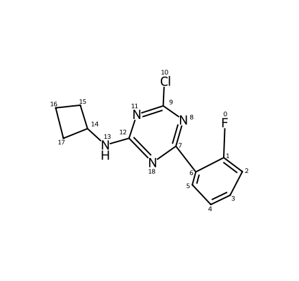 Fc1ccccc1-c1nc(Cl)nc(NC2CCC2)n1